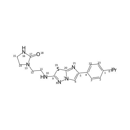 CC(C)c1ccc(-c2cn3nc(NCCN4CCNC4=O)sc3n2)cc1